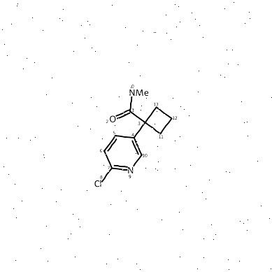 CNC(=O)C1(c2ccc(Cl)nc2)CCC1